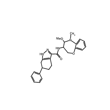 COC1C(NC(=O)c2n[nH]c3c2CCC(c2ccccc2)C3)COc2ccccc2N1C